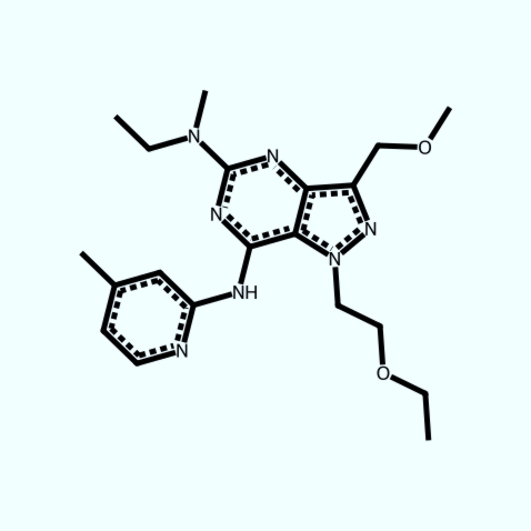 CCOCCn1nc(COC)c2nc(N(C)CC)nc(Nc3cc(C)ccn3)c21